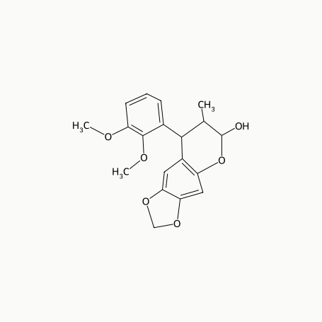 COc1cccc(C2c3cc4c(cc3OC(O)C2C)OCO4)c1OC